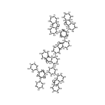 c1ccc(-c2nc(-c3ccccc3)nc(-c3cc(-c4cccc5c4oc4ccccc45)cc(-c4ccc(-c5ccc6oc7c(-c8nc(-c9cccc%10c9oc9ccccc9%10)nc(-c9cccc%10c9oc9ccccc9%10)n8)cccc7c6c5)c5c4oc4ccccc45)c3)n2)cc1